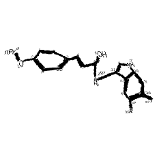 CCCOc1ccc(/C=C/C(O)Nc2c[nH]c3cc(F)c(F)cc23)cc1